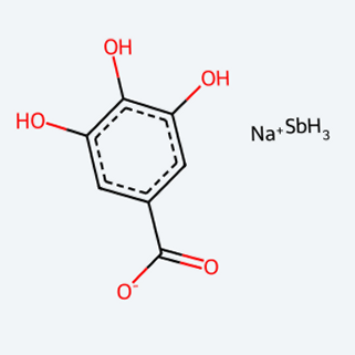 O=C([O-])c1cc(O)c(O)c(O)c1.[Na+].[SbH3]